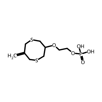 C=C1CSCC(OCCOP(=O)(O)O)CSC1